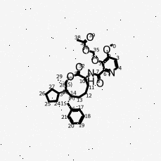 COc1ccnc(C(=O)N[C@H]2CCC[C@H](Cc3ccccc3)[C@@H](C3CCCC3)[C@H](C)OC2=O)c1OCOC(C)=O